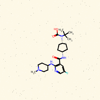 CN1CCC(Nc2ncc(F)cc2C(=O)N[C@H]2CC[C@@H](N(C(=O)O)C(C)(C)C)CC2)CC1